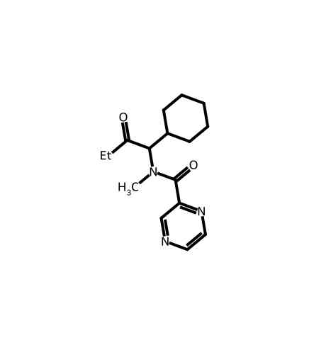 CCC(=O)C(C1CCCCC1)N(C)C(=O)c1cnccn1